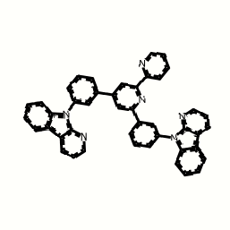 c1ccc(-c2cc(-c3cccc(-n4c5ccccc5c5cccnc54)c3)cc(-c3cccc(-n4c5ccccc5c5cccnc54)c3)n2)nc1